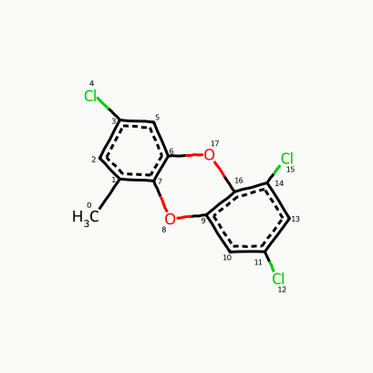 Cc1cc(Cl)cc2c1Oc1cc(Cl)cc(Cl)c1O2